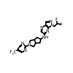 FC(F)Cn1ncc2ncc(NC3CC4CN(c5ncc(C(F)(F)F)cn5)CC4C3)nc21